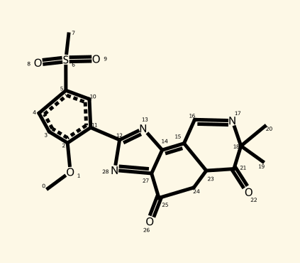 COc1ccc(S(C)(=O)=O)cc1C1=NC2=C3C=NC(C)(C)C(=O)C3CC(=O)C2=N1